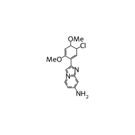 COC1=CC(OC)C(Cl)C=C1c1cn2ccc(N)cc2n1